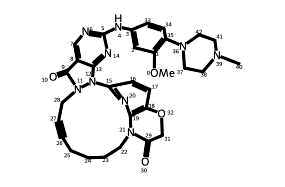 COc1cc(Nc2ncc3c(=O)n4n(c3n2)-c2ccc3c(n2)N(CCCCC#CC4)C(=O)CO3)ccc1N1CCN(C)CC1